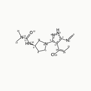 C=Nc1[nH]nc(N2CC[C@@H](NC(=O)N(C)C)C2)c1/C(Cl)=C\C